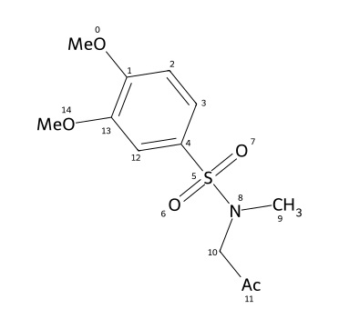 COc1ccc(S(=O)(=O)N(C)CC(C)=O)cc1OC